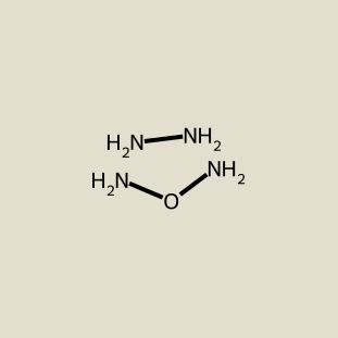 NN.NON